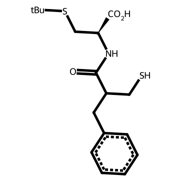 CC(C)(C)SC[C@H](NC(=O)C(CS)Cc1ccccc1)C(=O)O